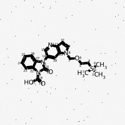 C[Si](C)(C)CCOCn1ccc2ncc(-n3c(=O)n(C(=O)O)c4ccccc43)cc21